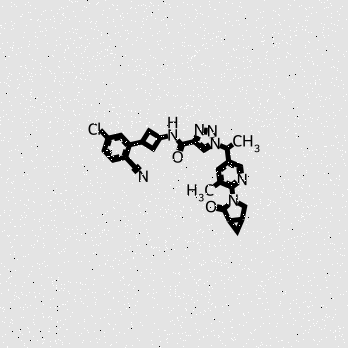 Cc1cc(C(C)n2cc(C(=O)NC3CC(c4cc(Cl)ccc4C#N)C3)nn2)cnc1N1CC2CC2C1=O